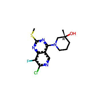 CSc1nc(N2CCC[C@@](C)(O)C2)c2cnc(Cl)c(F)c2n1